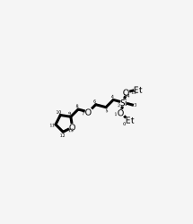 CCO[Si](C)(CCCOCC1CCCO1)OCC